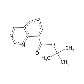 CC(C)(C)OC(=O)c1cccc2cncnc12